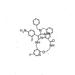 C[C@H]1CNC(=O)c2cnn3c(N(Cc4ccccc4)Cc4ccccc4)c(-c4ccc(N)cc4F)c(nc23)NCc2cc(F)cnc2O1